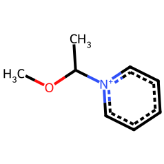 COC(C)[n+]1ccccc1